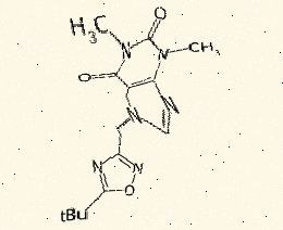 Cn1c(=O)c2c(ncn2Cc2noc(C(C)(C)C)n2)n(C)c1=O